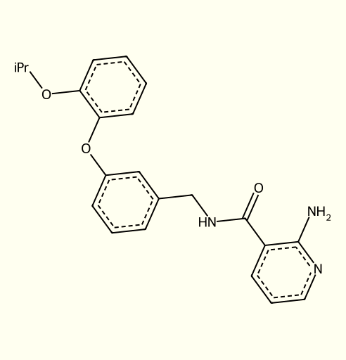 CC(C)Oc1ccccc1Oc1cccc(CNC(=O)c2cccnc2N)c1